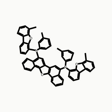 Cc1cccc(N(c2cc3c4cc(N(c5cccc(C)c5)c5cccc6c5oc5c(C)cccc56)c5ccccc5c4oc3c3ccccc23)c2cccc3c2oc2c(C)cccc23)c1